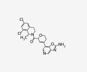 C[C@H]1c2c(Cl)cc(Cl)cc2CCN1C(=O)C1C=C(c2cncc3nc(N)oc23)CCO1